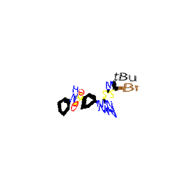 CC(C)(C)c1nc(Sc2nnnn2-c2ccc(S(=O)(=O)Nc3ccccc3)cc2)sc1Br